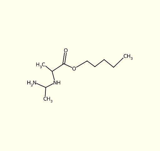 CCCCCOC(=O)C(C)NC(C)N